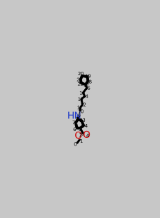 CCOC(=O)c1ccc(NCCCCCCCc2ccccc2)cc1